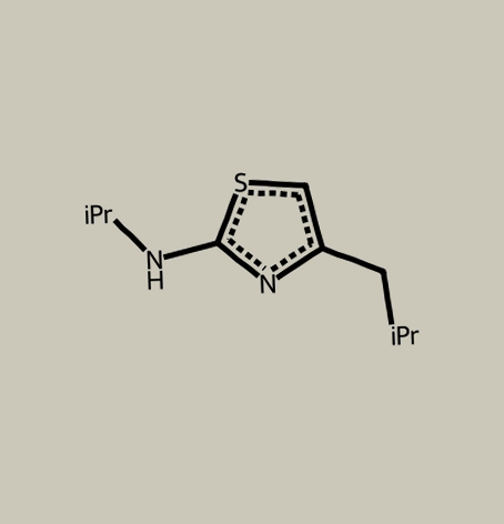 CC(C)Cc1csc(NC(C)C)n1